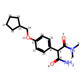 CN(C)C(=O)C(C(N)=O)c1ccc(OCC2CCCC2)cc1